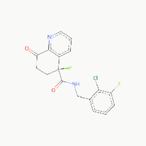 O=C1CC[C@@](F)(C(=O)NCc2cccc(F)c2Cl)c2cccnc21